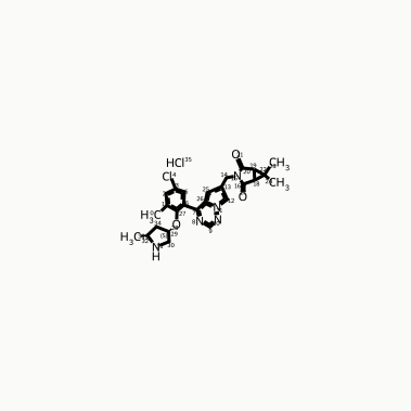 Cc1cc(Cl)cc(-c2ncnn3cc(CN4C(=O)C5C(C4=O)C5(C)C)cc23)c1O[C@@H]1CN[C@@H](C)C1.Cl